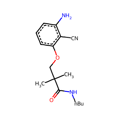 CCCCNC(=O)C(C)(C)COc1cccc(N)c1C#N